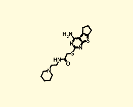 Nc1nc(SCC(=O)NCCN2CCCCC2)nc2sc3c(c12)CCC3